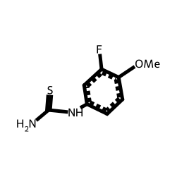 COc1ccc(NC(N)=S)cc1F